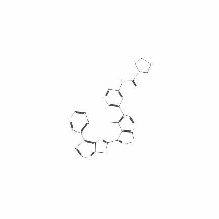 O=C(Nc1cncc(-c2cnc3[nH]nc(-c4nc5c(-c6cccnc6)ccnc5[nH]4)c3c2F)c1)C1CCCC1